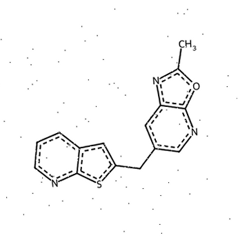 Cc1nc2cc(Cc3cc4cccnc4s3)cnc2o1